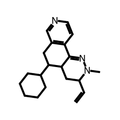 C=CC1CC2C(=NN1C)c1ccncc1CC2C1CCCCC1